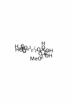 COCC1OC(OCCCCCOP(C)(=O)O)C(O)C(O)[C@H]1O